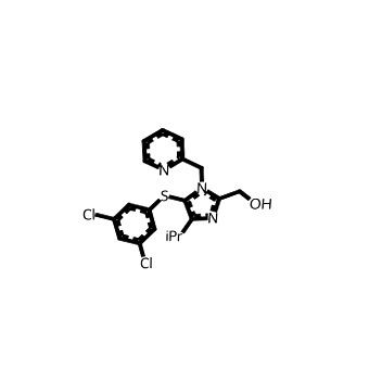 CC(C)c1nc(CO)n(Cc2ccccn2)c1Sc1cc(Cl)cc(Cl)c1